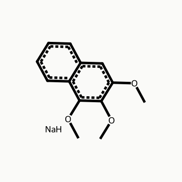 COc1cc2ccccc2c(OC)c1OC.[NaH]